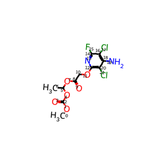 COC(=O)OC(C)OC(=O)COc1nc(F)c(Cl)c(N)c1Cl